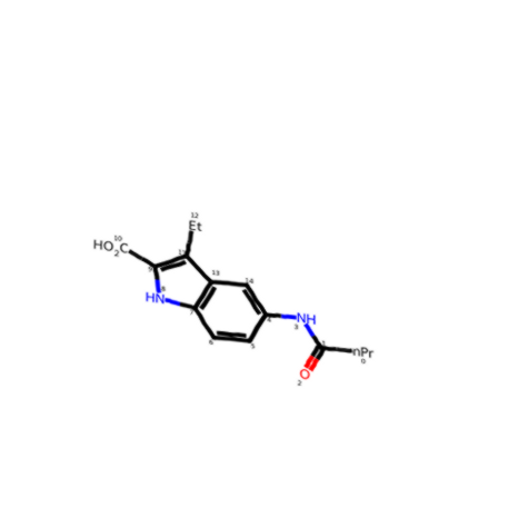 CCCC(=O)Nc1ccc2[nH]c(C(=O)O)c(CC)c2c1